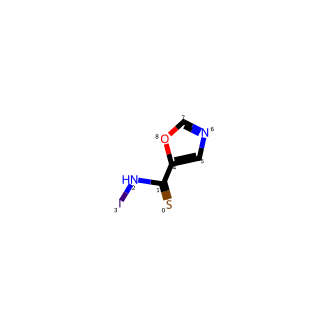 S=C(NI)c1cnco1